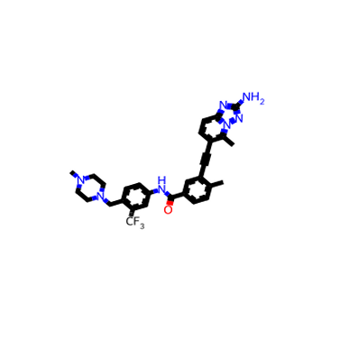 Cc1ccc(C(=O)Nc2ccc(CN3CCN(C)CC3)c(C(F)(F)F)c2)cc1C#Cc1ccc2nc(N)nn2c1C